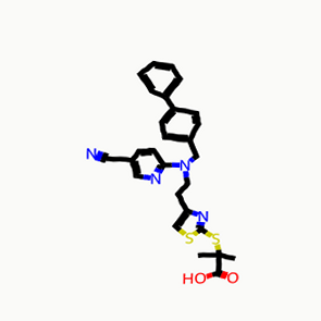 CC(C)(Sc1nc(CCN(Cc2ccc(-c3ccccc3)cc2)c2ccc(C#N)cn2)cs1)C(=O)O